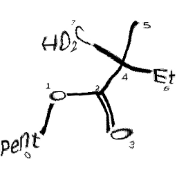 CCCCCOC(=O)C(C)(CC)C(=O)O